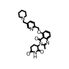 Cc1nc2cccc(OCc3ccc(CN4CCCCC4)cn3)c2c(=O)n1C1CCC(=O)NC1=O